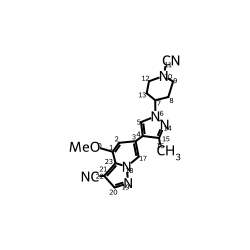 COc1cc(-c2cn(C3CCN(C#N)CC3)nc2C)cn2ncc(C#N)c12